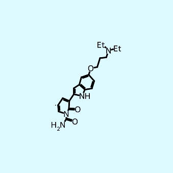 CCN(CC)CCCOc1ccc2[nH]c(-c3c[c]cn(C(N)=O)c3=O)cc2c1